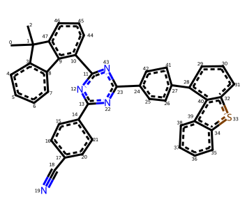 CC1(C)c2ccccc2-c2c(-c3nc(-c4ccc(C#N)cc4)nc(-c4ccc(-c5cccc6sc7ccccc7c56)cc4)n3)cccc21